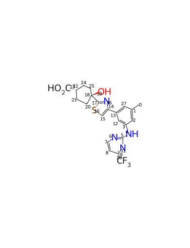 Cc1cc(Nc2nccc(C(F)(F)F)n2)cc(-c2csc([C@]3(O)CC[C@H](C(=O)O)CC3)n2)c1